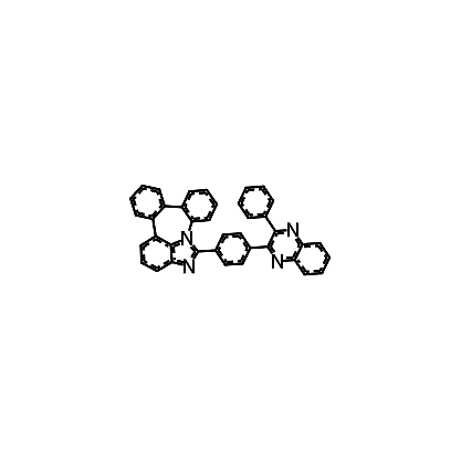 c1ccc(-c2nc3ccccc3nc2-c2ccc(-c3nc4cccc5c4n3-c3ccccc3-c3ccccc3-5)cc2)cc1